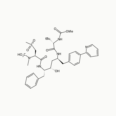 COC(=O)N[C@H](C(=O)N[C@@H](Cc1ccc(-c2ccccn2)cc1)C[C@H](O)[C@H](Cc1ccccc1)NC(=O)[C@H](CS(C)(=O)=O)N(C)C(=O)O)C(C)(C)C